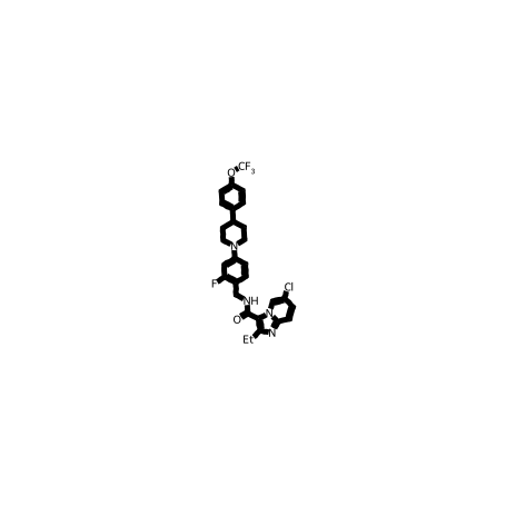 CCc1nc2ccc(Cl)cn2c1C(=O)NCc1ccc(N2CCC(c3ccc(OC(F)(F)F)cc3)CC2)cc1F